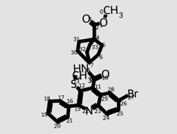 COC(=O)C12CCC(NC(=O)c3c(SC)c(-c4ccccc4)nc4ccc(Br)cc34)(CC1)CC2